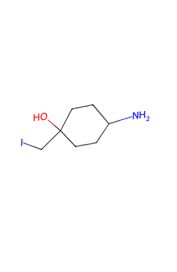 NC1CCC(O)(CI)CC1